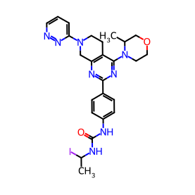 CC(I)NC(=O)Nc1ccc(-c2nc3c(c(N4CCOCC4C)n2)CCN(c2cccnn2)C3)cc1